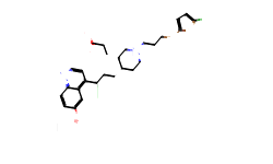 COc1ccc2nccc([C@H](F)CC[C@@H]3CCN(CCCSc4ccc(Cl)s4)C[C@H]3CCC(=O)O)c2c1